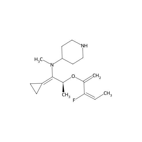 C=C(O[C@@H](C)C(=C1CC1)N(C)C1CCNCC1)/C(F)=C\C